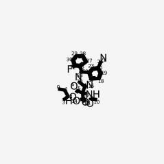 CCC(C)OC(=O)C(NC(C)=O)(C(=O)O)C1=Nc2ccc(C#N)cc2C(c2ccccc2F)=NC1